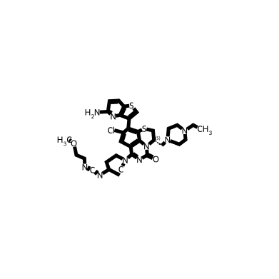 CCN1CCN(C[C@H]2CSc3c(-c4csc5ccc(N)nc45)c(Cl)cc4c(N5CCC(N=C=NCCOC)CC5)nc(=O)n2c34)CC1